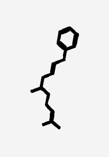 CC(C)=CCCC(C)C/C=C/Cc1ccccc1